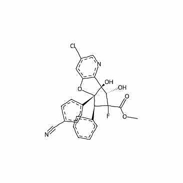 COC(=O)C1(F)[C@@H](O)[C@@]2(O)c3ncc(Cl)cc3O[C@@]2(c2ccc(C#N)cc2)[C@@H]1c1ccccc1